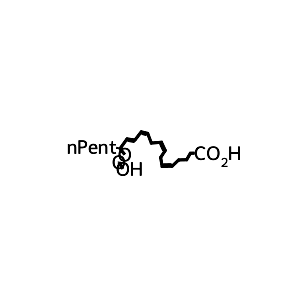 CCCCC[C@@H](/C=C/C=C\C/C=C\C/C=C\CCCC(=O)O)OOO